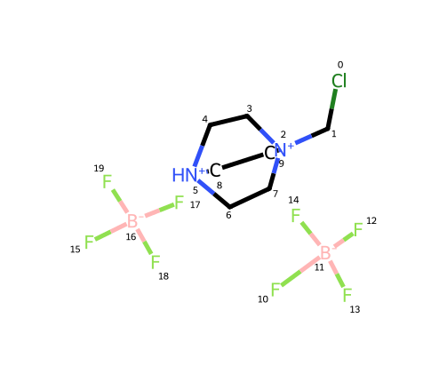 ClC[N+]12CC[NH+](CC1)CC2.F[B-](F)(F)F.F[B-](F)(F)F